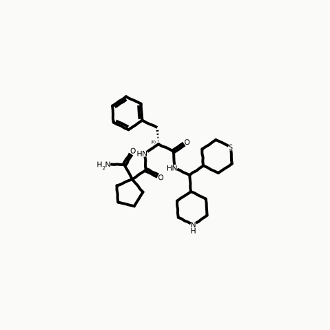 NC(=O)C1(C(=O)N[C@H](Cc2ccccc2)C(=O)NC(C2CCNCC2)C2CCSCC2)CCCC1